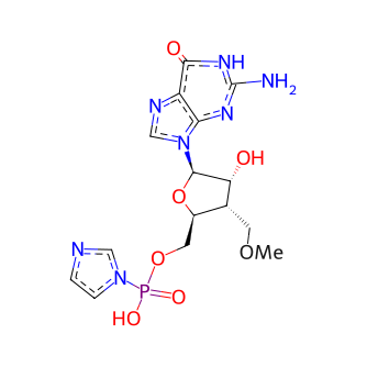 COC[C@H]1[C@@H](O)[C@H](n2cnc3c(=O)[nH]c(N)nc32)O[C@@H]1COP(=O)(O)n1ccnc1